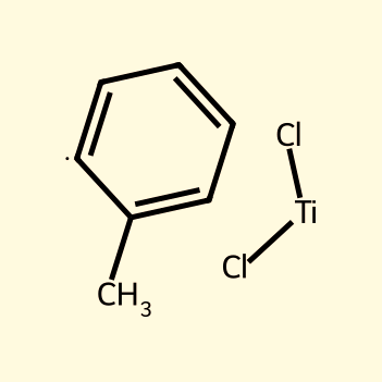 Cc1[c]cccc1.[Cl][Ti][Cl]